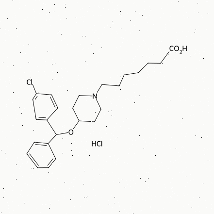 Cl.O=C(O)CCCCCCN1CCC(OC(c2ccccc2)c2ccc(Cl)cc2)CC1